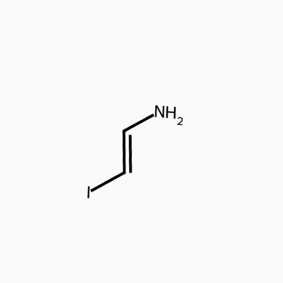 NC=CI